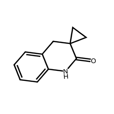 O=C1Nc2ccccc2CC12CC2